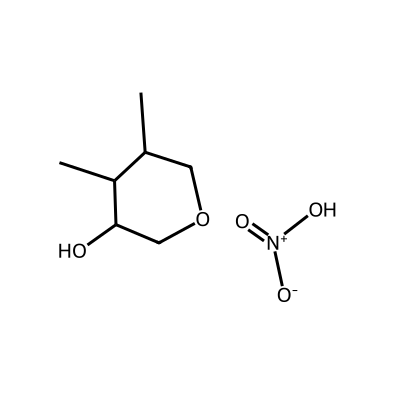 CC1COCC(O)C1C.O=[N+]([O-])O